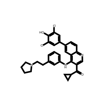 O=C(c1cnc2ccc(-c3cc(Cl)c(O)c(Cl)c3)cc2c1Nc1cccc(CCN2CCCC2)c1)C1CC1